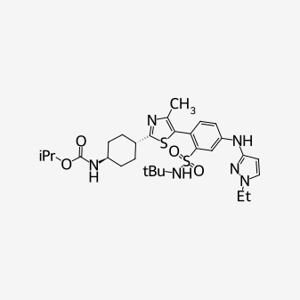 CCn1ccc(Nc2ccc(-c3sc([C@H]4CC[C@H](NC(=O)OC(C)C)CC4)nc3C)c(S(=O)(=O)NC(C)(C)C)c2)n1